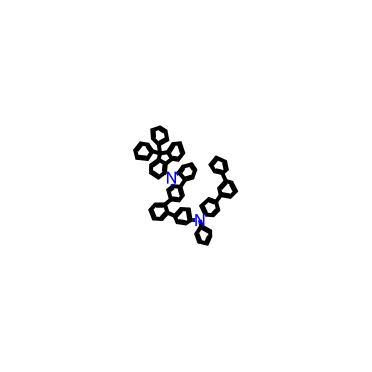 c1ccc(-c2cccc(-c3ccc(N(c4ccccc4)c4ccc(-c5ccccc5-c5ccc6c7ccccc7n(-c7cccc8c7-c7ccccc7C8(c7ccccc7)c7ccccc7)c6c5)cc4)cc3)c2)cc1